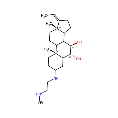 C/C=C1/CCC2C3C(CC[C@]12C)[C@@]1(C)CCC(NCCNCCC)CC1[C@@H](O)[C@@H]3O